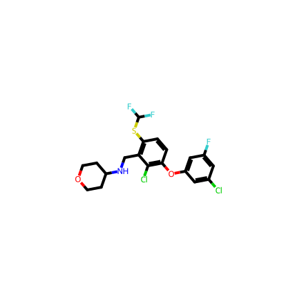 Fc1cc(Cl)cc(Oc2ccc(SC(F)F)c(CNC3CCOCC3)c2Cl)c1